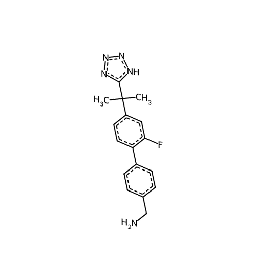 CC(C)(c1ccc(-c2ccc(CN)cc2)c(F)c1)c1nnn[nH]1